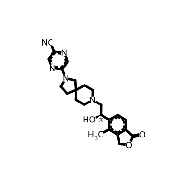 Cc1c([C@@H](O)CN2CCC3(CC2)CCN(c2cnc(C#N)cn2)C3)ccc2c1COC2=O